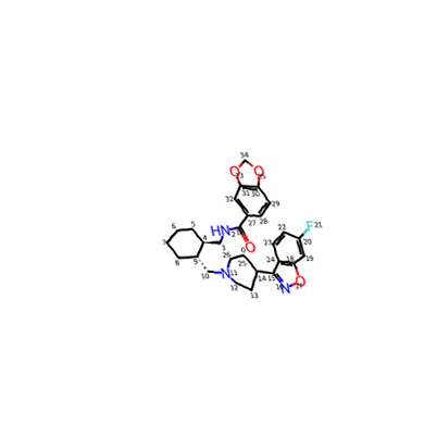 O=C(NC[C@@H]1CCCC[C@H]1CN1CCC(c2noc3cc(F)ccc23)CC1)c1ccc2c(c1)OCO2